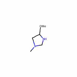 COC1CN(C)[CH]N1